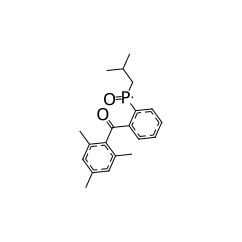 Cc1cc(C)c(C(=O)c2ccccc2[P](=O)CC(C)C)c(C)c1